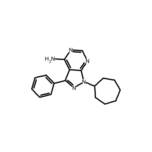 Nc1ncnc2c1c(-c1ccccc1)nn2C1CCCCCC1